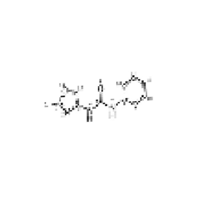 Cc1nc(NC(=O)Nc2ccccc2)co1